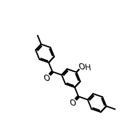 Cc1ccc(C(=O)c2cc(O)cc(C(=O)c3ccc(C)cc3)c2)cc1